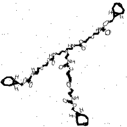 O=C(NCCN(CCNC(=O)OCCOCCNC(=O)OC[C@@H]1[C@@H]2CCC#CCC[C@@H]21)CCNC(=O)OCCOCCNC(=O)OC[C@@H]1[C@@H]2CCC#CCC[C@@H]21)OCCOCCNC(=O)OC[C@@H]1[C@@H]2CCC#CCC[C@@H]21